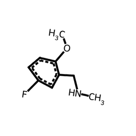 CNCc1cc(F)ccc1OC